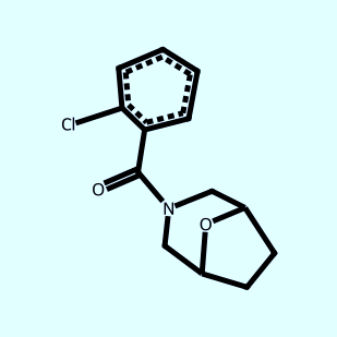 O=C(c1ccccc1Cl)N1CC2CCC(C1)O2